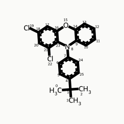 CC(C)(C)c1ccc(N2c3ccccc3Oc3cc(Cl)cc(Cl)c32)cc1